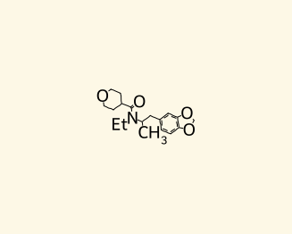 CCN(C(=O)C1CCOCC1)C(C)Cc1ccc2c(c1)OCO2